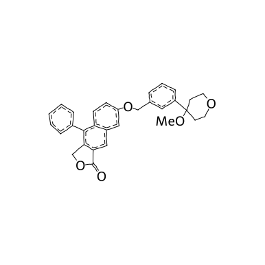 COC1(c2cccc(COc3ccc4c(-c5ccccc5)c5c(cc4c3)C(=O)OC5)c2)CCOCC1